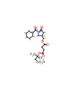 O=C(CCC(=O)OC(CS(=O)(=O)O)(C(F)(F)F)C(F)(F)F)OCC1CC(=O)N(C(=O)C2CCCCC2)C1